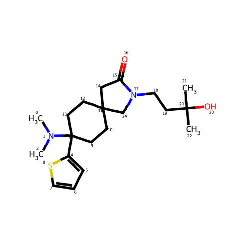 CN(C)C1(c2cccs2)CCC2(CC1)CC(=O)N(CCC(C)(C)O)C2